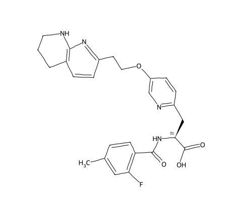 Cc1ccc(C(=O)N[C@@H](Cc2ccc(OCCc3ccc4c(n3)NCCC4)cn2)C(=O)O)c(F)c1